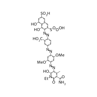 CCn1c(O)c(/N=N/c2cc(OC)c(/N=N/c3ccc(/N=N/c4c(SOOO)cc5cc(S(=O)(=O)O)cc(O)c5c4O)c(C(=O)O)c3)cc2OC)c(C)c(C(N)=O)c1=O